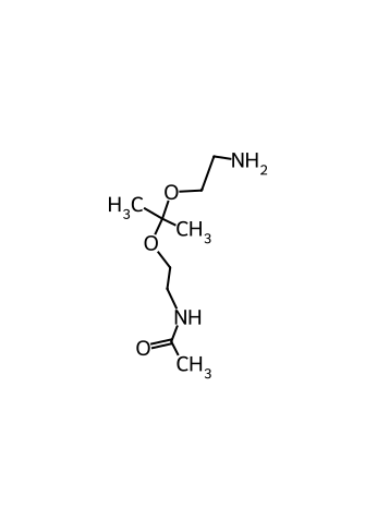 CC(=O)NCCOC(C)(C)OCCN